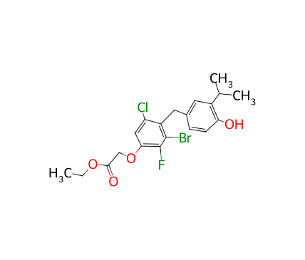 CCOC(=O)COc1cc(Cl)c(Cc2ccc(O)c(C(C)C)c2)c(Br)c1F